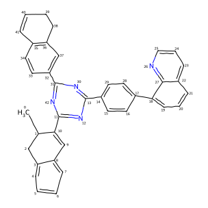 CC1Cc2ccccc2C=C1c1nc(-c2ccc(-c3cccc4cccnc34)cc2)nc(-c2ccc3c(c2)CCC=C3)n1